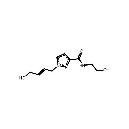 O=C(NCCO)c1ccn(CC=CCO)n1